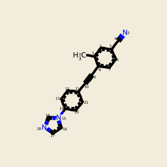 Cc1cc(C#N)ccc1C#Cc1ccc(-n2ccnc2)cc1